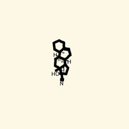 CC12CC[C@@H]3[C@@H](CC=C4CCCC[C@@]43C)[C@H]1CCC2(O)C#N